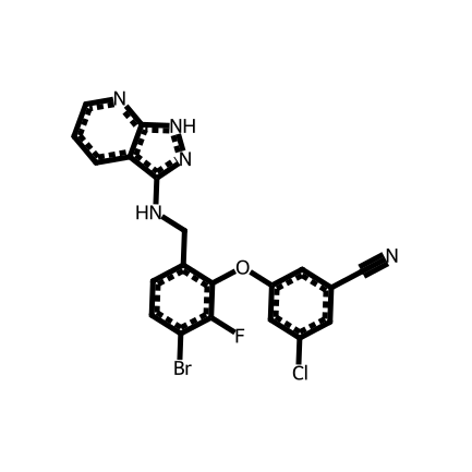 N#Cc1cc(Cl)cc(Oc2c(CNc3n[nH]c4ncccc34)ccc(Br)c2F)c1